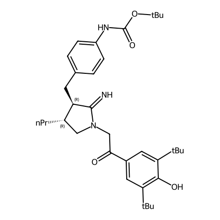 CCC[C@H]1CN(CC(=O)c2cc(C(C)(C)C)c(O)c(C(C)(C)C)c2)C(=N)[C@@H]1Cc1ccc(NC(=O)OC(C)(C)C)cc1